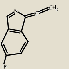 C=C=C1N=Cc2cc(C(C)C)ccc21